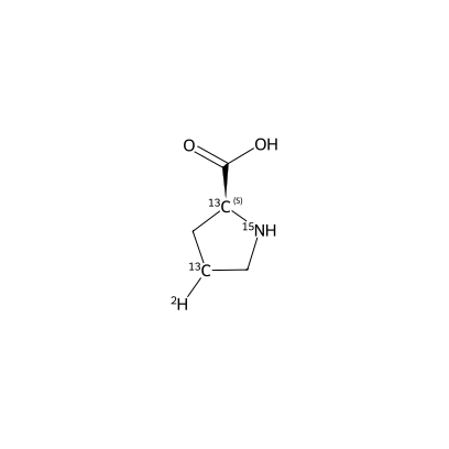 [2H][13CH]1C[15NH][13C@H](C(=O)O)C1